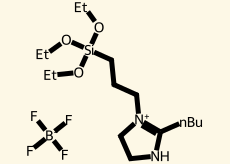 CCCCC1=[N+](CCC[Si](OCC)(OCC)OCC)CCN1.F[B-](F)(F)F